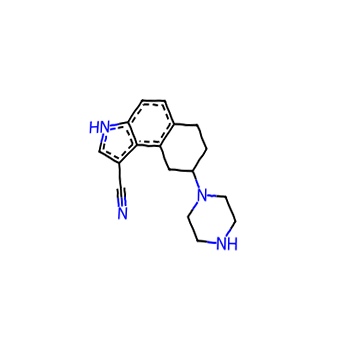 N#Cc1c[nH]c2ccc3c(c12)CC(N1CCNCC1)CC3